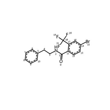 O=C(NCCc1ccccc1)c1ccc(Br)cc1C(F)(F)F